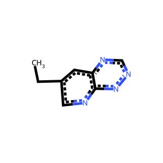 CCc1cnc2nncnc2c1